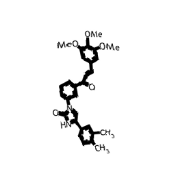 COc1cc(C=CC(=O)c2cccc(-n3cc(-c4ccc(C)c(C)c4)[nH]c3=O)c2)cc(OC)c1OC